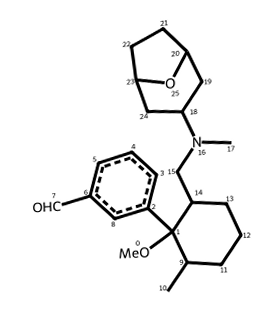 COC1(c2cccc(C=O)c2)C(C)CCCC1CN(C)C1CC2CCC(C1)O2